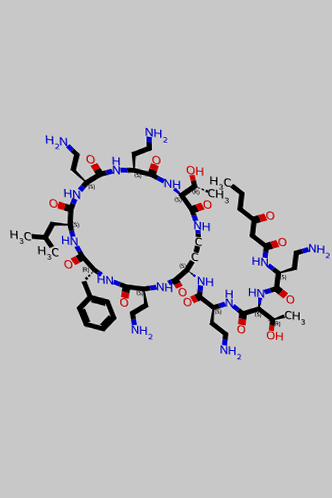 CCCC(=O)CC(=O)N[C@@H](CCN)C(=O)N[C@H](C(=O)N[C@@H](CCN)C(=O)N[C@H]1CCNC(=O)[C@H]([C@@H](C)O)NC(=O)[C@H](CCN)NC(=O)[C@H](CCN)NC(=O)[C@H](CC(C)C)NC(=O)[C@@H](Cc2ccccc2)NC(=O)[C@H](CCN)NC1=O)[C@@H](C)O